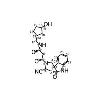 N#C[C@@H]1C[C@@]2(CN1C(=O)CC(=O)NC[C@H]1CC[C@@H](O)C1)C(=O)Nc1ccccc12